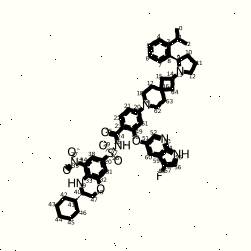 CC(C)c1ccccc1[C@H]1CCCN1C1CC2(CCN(c3ccc(C(=O)NS(=O)(=O)c4cc5c(c([N+](=O)[O-])c4)N[C@@H](C4CCCCC4)CO5)c(Oc4cnc5[nH]cc(F)c5c4)c3)CC2)C1